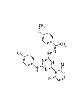 C/C(=N/Nc1nc(Nc2ccc(Cl)cc2)nc(-c2c(F)cccc2Cl)n1)c1ccc(OC(F)(F)F)cc1